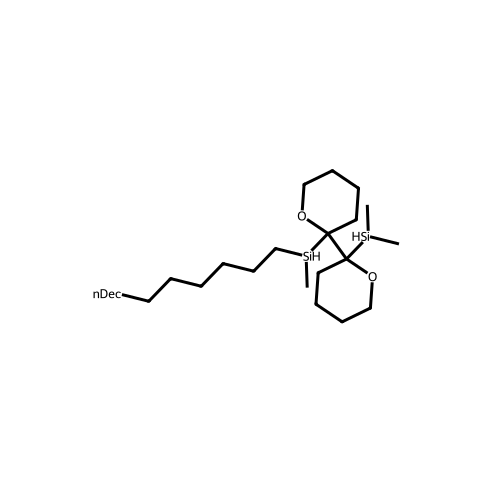 CCCCCCCCCCCCCCCC[SiH](C)C1(C2([SiH](C)C)CCCCO2)CCCCO1